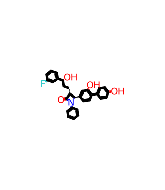 O=C1[C@H](CC[C@H](O)c2cccc(F)c2)[C@@H](c2ccc(-c3ccc(O)cc3)c(O)c2)N1c1ccccc1